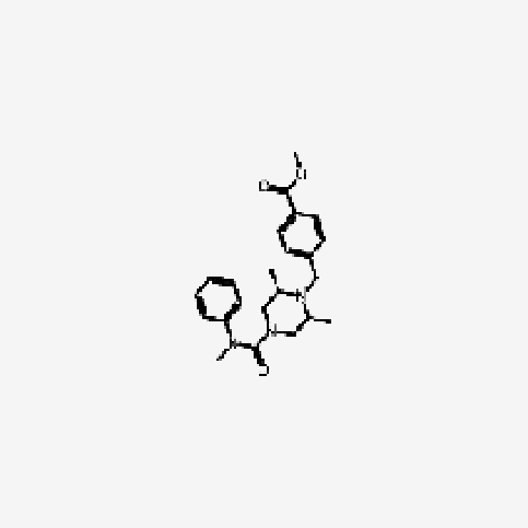 COC(=O)c1ccc(CN2[C@H](C)CN(C(=O)N(C)c3ccccc3)C[C@@H]2C)cc1